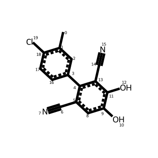 Cc1cc(-c2c(C#N)cc(O)c(O)c2C#N)ccc1Cl